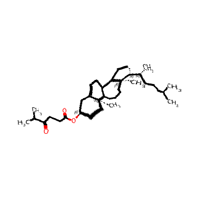 CC(C)CCC[C@@H](C)[C@H]1CCC2C3CC=C4C[C@H](OC(=O)CCC(=O)C(C)C)CC[C@]4(C)C3CC[C@@]21C